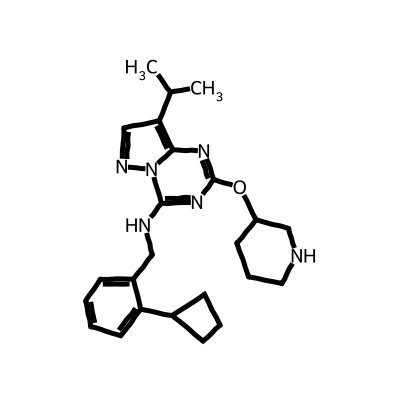 CC(C)c1cnn2c(NCc3ccccc3C3CCC3)nc(OC3CCCNC3)nc12